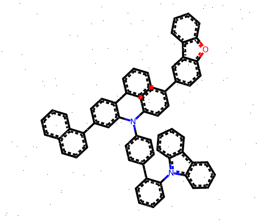 c1ccc(-c2ccc(-c3cccc4ccccc34)cc2N(c2ccc(-c3ccc4oc5ccccc5c4c3)cc2)c2ccc(-c3ccccc3-n3c4ccccc4c4ccccc43)cc2)cc1